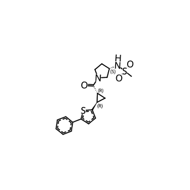 CS(=O)(=O)N[C@H]1CCN(C(=O)[C@@H]2C[C@H]2c2ccc(-c3ccccc3)s2)C1